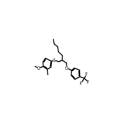 CCCCCC(COc1ccc(C(F)(F)F)cc1)CSc1ccc(OC)c(C)c1